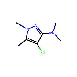 Cc1c(Cl)c(N(C)C)nn1C